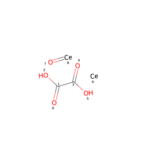 O=C(O)C(=O)O.[Ce].[O]=[Ce]